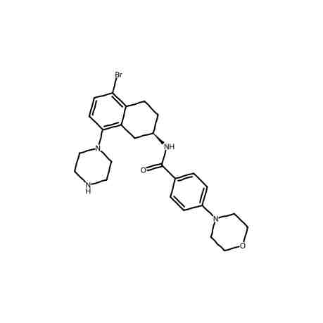 O=C(N[C@@H]1CCc2c(Br)ccc(N3CCNCC3)c2C1)c1ccc(N2CCOCC2)cc1